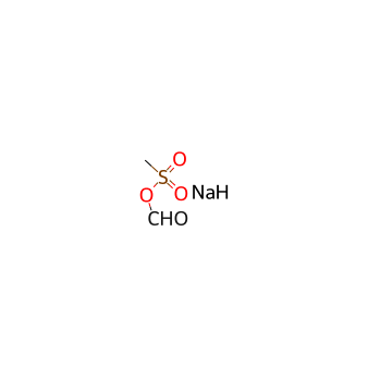 CS(=O)(=O)OC=O.[NaH]